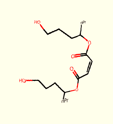 CCCC(CCCO)OC(=O)/C=C\C(=O)OC(CCC)CCCO